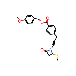 COc1ccc(COC(=O)c2ccc(CC#CN3C(=O)CC3SC)cc2)cc1